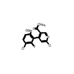 COC(=O)c1cnc(Cl)cc1-c1c(OC)ccc(Cl)c1F